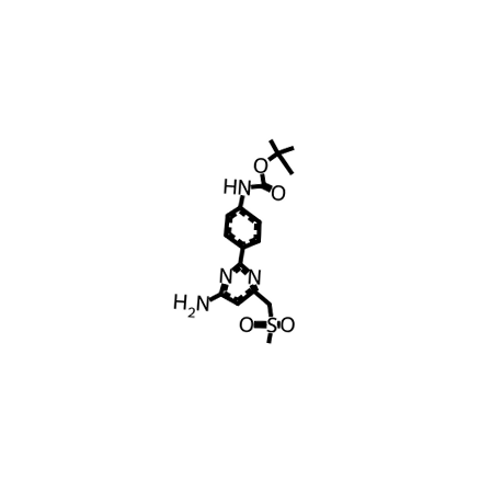 CC(C)(C)OC(=O)Nc1ccc(-c2nc(N)cc(CS(C)(=O)=O)n2)cc1